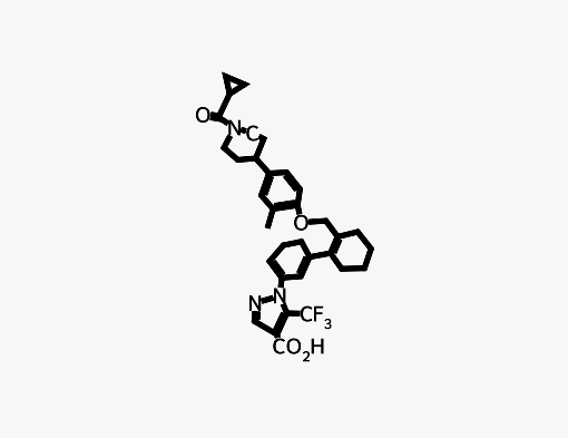 Cc1cc(C2CCN(C(=O)C3CC3)CC2)ccc1OCC1=C(C2=CC(n3ncc(C(=O)O)c3C(F)(F)F)=CCC2)CCCC1